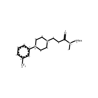 CCCCCCN(C)C(=O)CCN1CCN(c2cccc(C(F)(F)F)c2)CC1